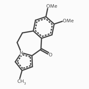 COc1cc2c(cc1OC)C(=O)c1cc(C)cn1CC2